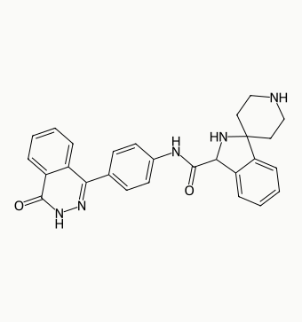 O=C(Nc1ccc(-c2n[nH]c(=O)c3ccccc23)cc1)C1NC2(CCNCC2)c2ccccc21